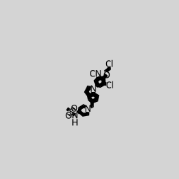 CS(=O)(=O)NC1CCN(Cc2ccc3c(ccn3-c3cc(Cl)c(OCCCl)c(C#N)c3)c2)CC1